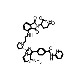 Nc1nccn2c([C@@H]3CCCN3CCNc3cccc4c3C(=O)N(C3CCC(=O)NC3=O)C4=O)nc(-c3ccc(C(=O)Nc4ccccn4)cc3)c12